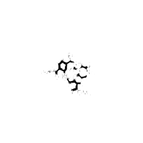 CC[C@@H](NC(=O)N1CC(=S)NC[C@H](Cc2cc(Cl)ccc2OC)C1=O)c1ccc(C(=O)OC(C)(C)C)c([N+](=O)[O-])c1